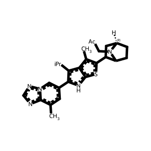 CC(=O)CN1C2CC[C@@H]1CC2c1sc2[nH]c(-c3cc(C)c4ncnn4c3)c(C(C)C)c2c1C